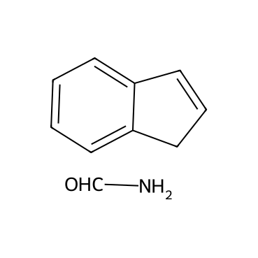 C1=Cc2ccccc2C1.NC=O